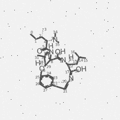 CC[C@H](C)[C@@H](C(=O)N[C@@H]1C(O)=N[C@@H](CC(C)C)C(O)=NC=Cc2ccc(cc2)O[C@H]1C(C)C)N(C)C